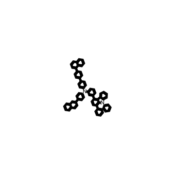 c1ccc(-c2ccc(-c3cccc(N(c4ccc(-c5ccc(-c6cccc7ccccc67)cc5)cc4)c4ccc(-c5ccc6ccccc6c5)cc4)c3)c3c4ccccc4n(-c4ccccc4)c23)cc1